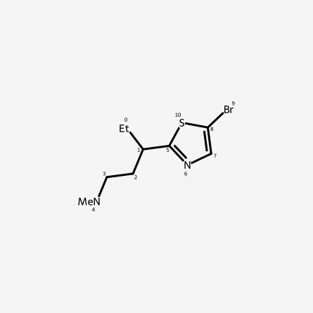 CCC(CCNC)c1ncc(Br)s1